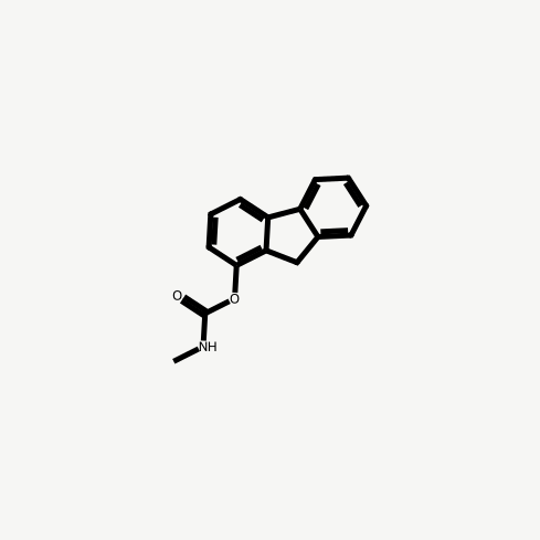 CNC(=O)Oc1cccc2c1Cc1ccccc1-2